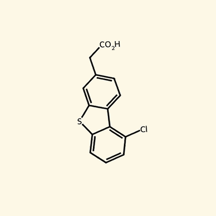 O=C(O)Cc1ccc2c(c1)sc1cccc(Cl)c12